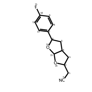 N#CCC1CC2CC(c3ccc(F)cc3)OC2O1